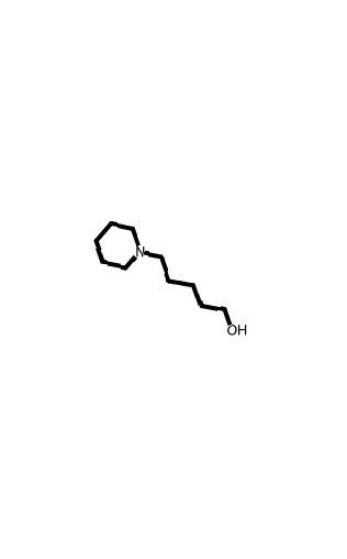 OCCCCCN1CCCCC1